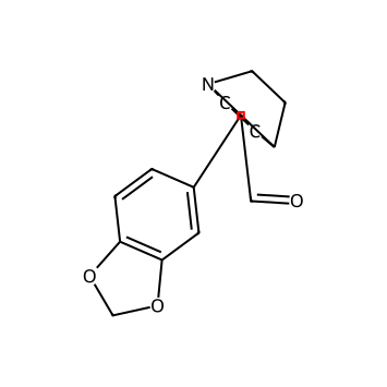 O=CC1(c2ccc3c(c2)OCO3)CN2CCC1CC2